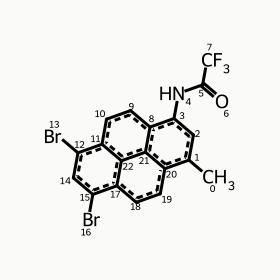 Cc1cc(NC(=O)C(F)(F)F)c2ccc3c(Br)cc(Br)c4ccc1c2c43